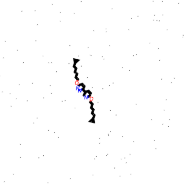 c1cc(OCCCCCCC2CC2)ncc1-c1ccc(OCCCCCCC2CC2)nn1